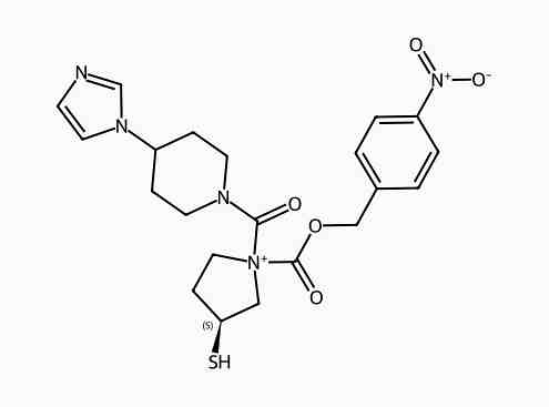 O=C(OCc1ccc([N+](=O)[O-])cc1)[N+]1(C(=O)N2CCC(n3ccnc3)CC2)CC[C@H](S)C1